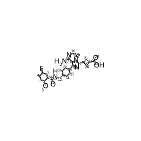 COc1ccc(F)cc1C(=O)NCc1ccc(-c2nc(C34CC(C(=O)O)(C3)C4)n3ncnc(N)c23)cc1